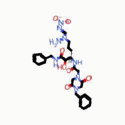 NN(C=N[N+](=O)[O-])CCC[C@H](NC(=O)CN1CC(=O)N(Cc2ccccc2)CC1=O)C(O)C(=O)NCc1ccccc1